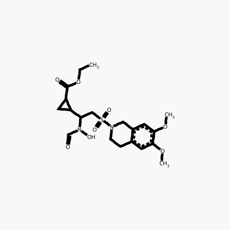 CCOC(=O)C1CC1C(CS(=O)(=O)N1CCc2cc(OC)c(OC)cc2C1)N(O)C=O